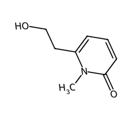 Cn1c(CCO)cccc1=O